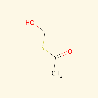 CC(=O)SCO